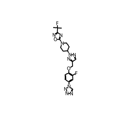 CC(C)(F)c1noc(N2CCC(n3ncc(COc4ccc(-n5cnnn5)cc4F)n3)CC2)n1